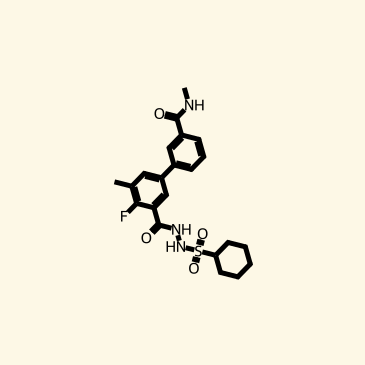 CNC(=O)c1cccc(-c2cc(C)c(F)c(C(=O)NNS(=O)(=O)C3CCCCC3)c2)c1